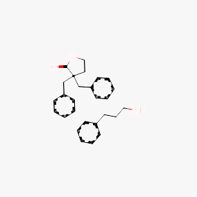 O=C1OCCC1(Cc1ccccc1)Cc1ccccc1.OCCCc1ccccc1